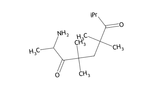 CC(C)C(=O)C(C)(C)CC(C)(C)C(=O)C(C)N